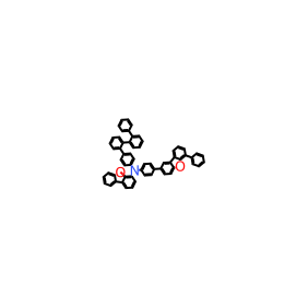 c1ccc(-c2ccccc2-c2ccccc2-c2ccc(N(c3ccc(-c4ccc5oc6c(-c7ccccc7)cccc6c5c4)cc3)c3cccc4c3oc3ccccc34)cc2)cc1